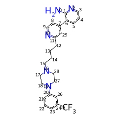 Nc1ncccc1-c1ccnc(CCCCN2CCN(c3cccc(C(F)(F)F)c3)CC2)c1